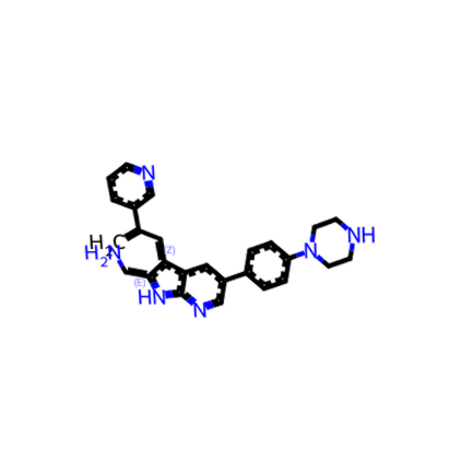 C=C(/C=c1\c(=C/N)[nH]c2ncc(-c3ccc(N4CCNCC4)cc3)cc12)c1cccnc1